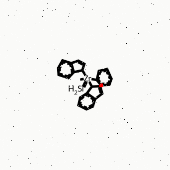 [CH3][Zr](=[SiH2])([c]1ccccc1)([CH]1C=Cc2ccccc21)[CH]1C=Cc2ccccc21